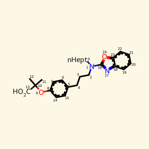 CCCCCCCN(CCCc1ccc(OC(C)(C)C(=O)O)cc1)c1nc2ccccc2o1